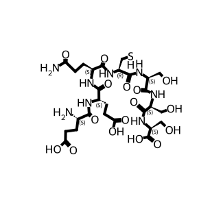 NC(=O)CC[C@H](NC(=O)[C@H](CCC(=O)O)NC(=O)[C@@H](N)CCC(=O)O)C(=O)N[C@@H](CS)C(=O)N[C@@H](CO)C(=O)N[C@@H](CO)C(=O)N[C@@H](CO)C(=O)O